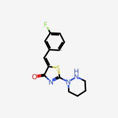 O=C1N=C(N2CCCCN2)SC1=Cc1[c]ccc(F)c1